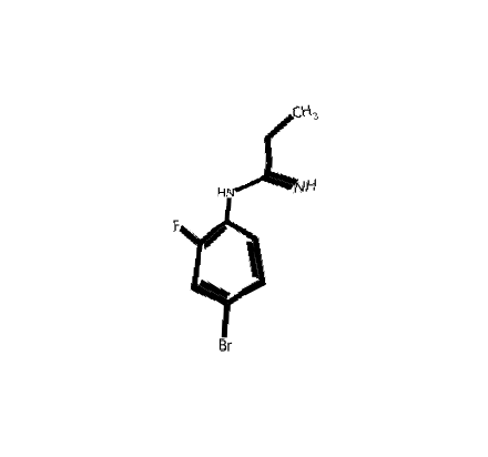 CCC(=N)Nc1ccc(Br)cc1F